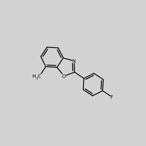 Cc1cccc2nc(-c3ccc(F)cc3)oc12